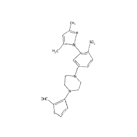 Cc1cc(C)n(-c2cc(N3CCN(c4ccsc4C=O)CC3)ccc2[N+](=O)[O-])n1